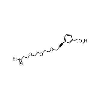 CCN(CC)CCOCCOCCOCC#Cc1cccc(C(=O)O)c1